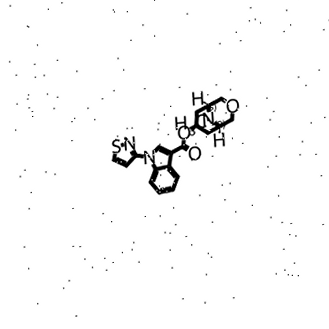 CN1[C@@H]2COC[C@H]1CC(OC(=O)c1cn(-c3ccsn3)c3ccccc13)C2